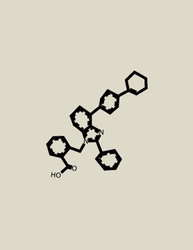 O=C(O)c1ccccc1Cn1c(-c2ccccc2)nc2c(-c3ccc(C4=CCCCC4)cc3)cccc21